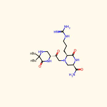 CCCCC1(CCCC)NC[C@H](C(=O)CN2C[C@H](C(N)=O)NC(=O)[C@@H]2CCCNC(=N)N)NC1=O